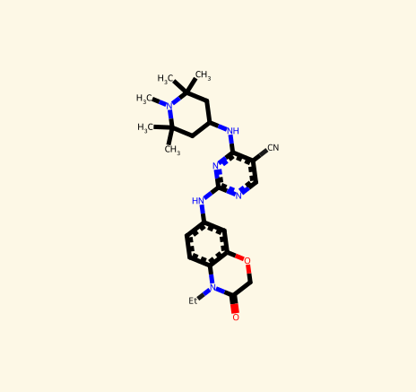 CCN1C(=O)COc2cc(Nc3ncc(C#N)c(NC4CC(C)(C)N(C)C(C)(C)C4)n3)ccc21